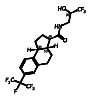 O=C(NC[C@@H](O)C(F)(F)F)[C@@H]1CC[C@H]2c3ccc(C(F)(C(F)(F)F)C(F)(F)F)cc3CC[C@@H]12